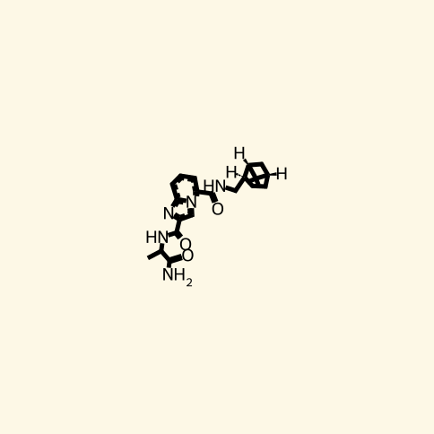 CC(NC(=O)c1cn2c(C(=O)NC[C@@H]3CC[C@H]4C[C@@H]3C4(C)C)cccc2n1)C(N)=O